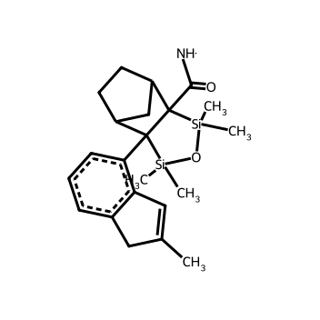 CC1=Cc2c(cccc2C23C4CCC(C4)C2(C([NH])=O)[Si](C)(C)O[Si]3(C)C)C1